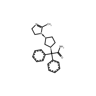 CC1=NCCN1[C@H]1CC[C@@H](C(C(N)=O)(c2ccccc2)c2ccccc2)C1